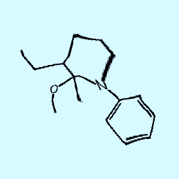 CCC1CCCN(c2ccccc2)C1(C)OC